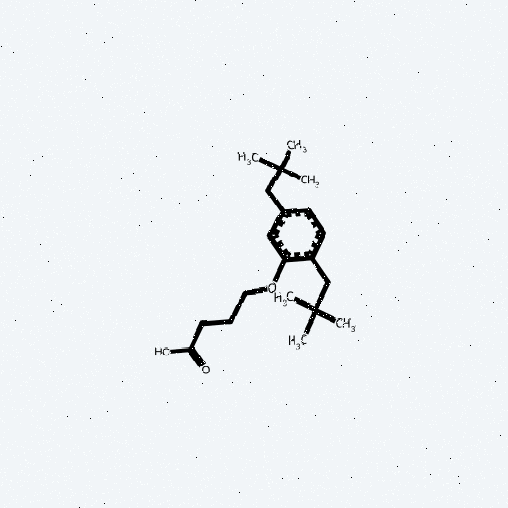 CC(C)(C)Cc1ccc(CC(C)(C)C)c(OCCCC(=O)O)c1